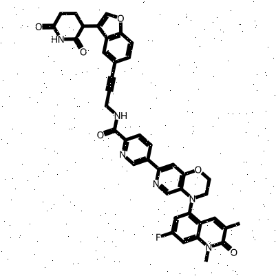 Cc1cc2c(N3CCOc4cc(-c5ccc(C(=O)NCC#Cc6ccc7occ(C8CCC(=O)NC8=O)c7c6)nc5)ncc43)cc(F)cc2n(C)c1=O